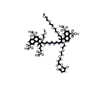 COCCOCCOCCOCCC1(C)\C(=C/C=C/C=C/C=C/C2=[N+](CCOC)c3cc(S(=O)(=O)O)c4ccc(S(=O)(=O)O)cc4c3C2(C)CCCS(=O)(=O)O)N(CCOCCOCCC(=O)ON2C(=O)CCC2=O)c2ccc3c(S(=O)(=O)O)cc(S(=O)(=O)O)cc3c21